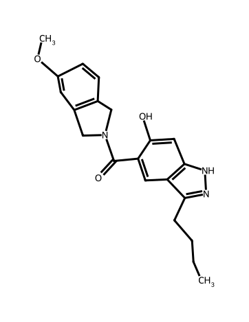 CCCCc1n[nH]c2cc(O)c(C(=O)N3Cc4ccc(OC)cc4C3)cc12